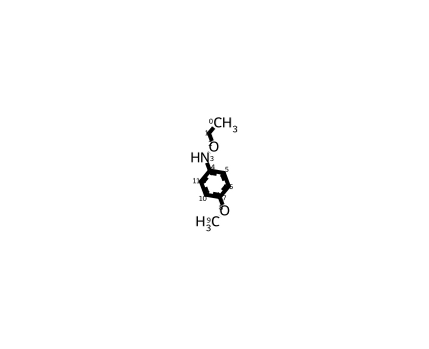 CCONc1ccc(OC)cc1